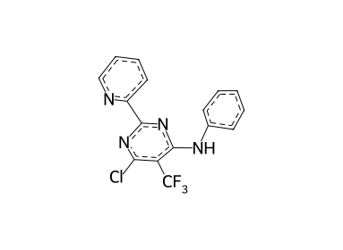 FC(F)(F)c1c(Cl)nc(-c2ccccn2)nc1Nc1ccccc1